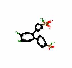 O=S(=O)(Cl)c1ccc(-c2cc(F)c(F)cc2-c2ccc(S(=O)(=O)Cl)cc2)cc1